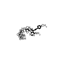 Cc1ccc(C#Cc2cn([C@@H]3O[C@H](COP(=O)(O)OP(=O)(O)OP(=O)(O)O)[C@@H](O)[C@@]3(C)O)c3ncnc(N)c23)cc1